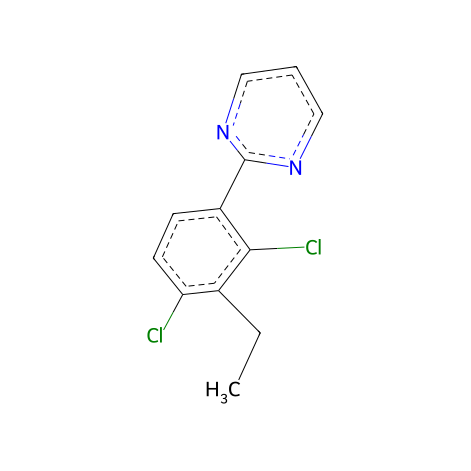 CCc1c(Cl)ccc(-c2ncccn2)c1Cl